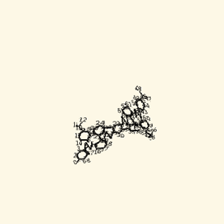 Cc1ccc(N(c2ccc(C(C)C)cc2)c2cccc3c2c2cccc4c5cc6c(cc5n3c42)c2cccc3c4c(N(c5ccc(C(C)C)cc5)c5ccc([Si](C)(C)C)cc5)cccc4n6c23)cc1